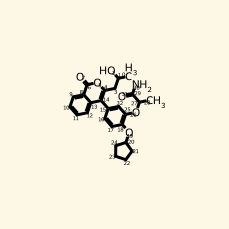 CC(O)Cc1oc(=O)c2ccccc2c1-c1ccc(OC2CCCC2)c(OC(C)C(N)=O)c1